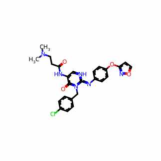 CN(C)CCC(=O)Nc1c[nH]/c(=N\c2ccc(Oc3ccon3)cc2)n(Cc2ccc(Cl)cc2)c1=O